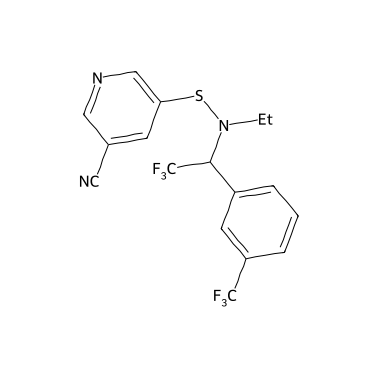 CCN(Sc1cncc(C#N)c1)C(c1cccc(C(F)(F)F)c1)C(F)(F)F